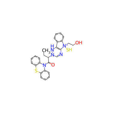 CCC(C(=O)N1c2ccccc2Sc2ccccc21)N1C=NC2=C(N1)c1ccccc1[N+]2(S)CCO